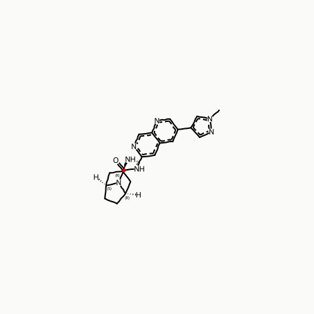 Cn1cc(-c2cnc3cnc(NC(=O)N4[C@@H]5CC[C@H]4C[C@@H](N)C5)cc3c2)cn1